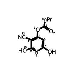 CCCC(=O)Oc1cc(O)nc(O)c1C#N